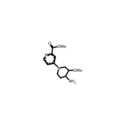 COC(=O)c1cc(N2CCC(N)C(OC)C2)ccn1